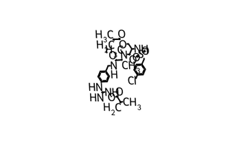 C=C(C)C(=O)OCC(NS(=O)(=O)Cc1ccc(Cl)cc1)C(=O)N(C)[C@@H](C)C(=O)NCc1ccc(NC(=N)NOC(=O)C(=C)C)cc1